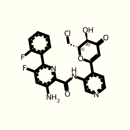 Nc1cc(F)c(-c2ccccc2F)nc1C(=O)Nc1cnccc1C1=CC(=O)[C@H](O)[C@@H](CCl)O1